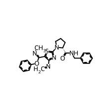 C=Nc1nc(N2CCC[C@@H]2C(=O)NCc2ccccc2)sc1/C(=N\C)Oc1ccccc1